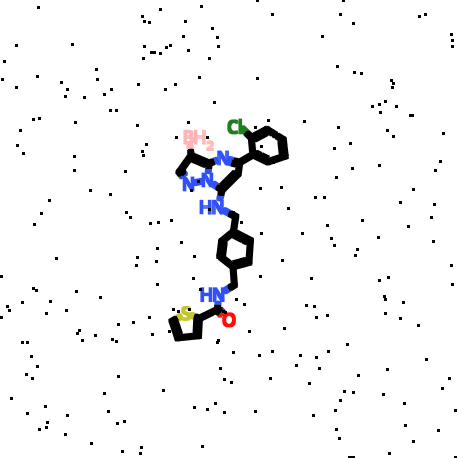 Bc1cnn2c(NCc3ccc(CNC(=O)c4cccs4)cc3)cc(-c3ccccc3Cl)nc12